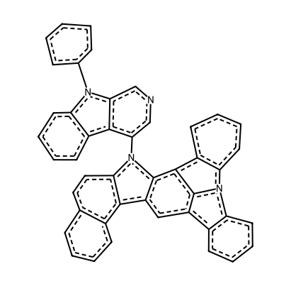 c1ccc(-n2c3ccccc3c3c(-n4c5ccc6ccccc6c5c5cc6c7ccccc7n7c8ccccc8c(c54)c67)cncc32)cc1